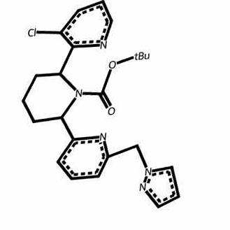 CC(C)(C)OC(=O)N1C(c2cccc(Cn3cccn3)n2)CCCC1c1ncccc1Cl